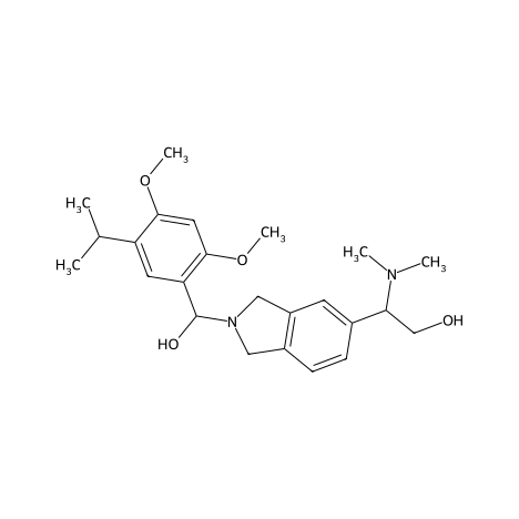 COc1cc(OC)c(C(O)N2Cc3ccc(C(CO)N(C)C)cc3C2)cc1C(C)C